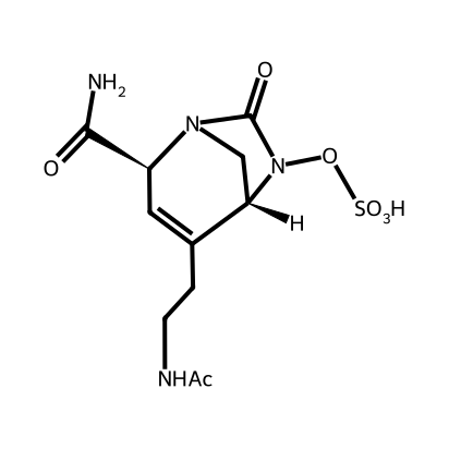 CC(=O)NCCC1=C[C@@H](C(N)=O)N2C[C@@H]1N(OS(=O)(=O)O)C2=O